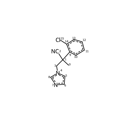 CC(C#N)(Cn1ccnc1)c1ccccc1Cl